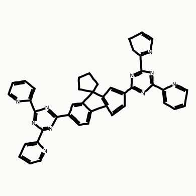 C1=CN=C(c2nc(-c3ccc4c(c3)C3(CCCC3)c3cc(-c5nc(-c6ccccn6)nc(-c6ccccn6)n5)ccc3-4)nc(-c3ccccn3)n2)CC1